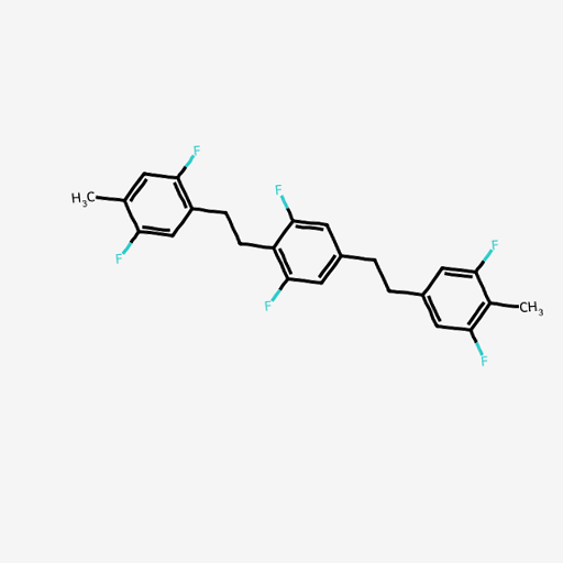 Cc1cc(F)c(CCc2c(F)cc(CCc3cc(F)c(C)c(F)c3)cc2F)cc1F